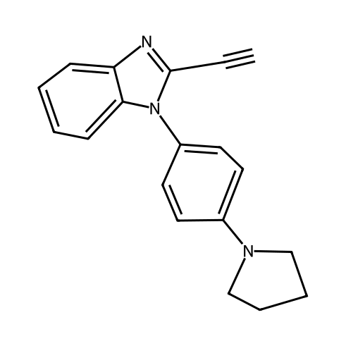 C#Cc1nc2ccccc2n1-c1ccc(N2CCCC2)cc1